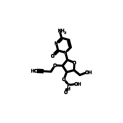 C#CCOC1C(O[PH](=O)O)C(CO)OC1n1ccc(N)nc1=O